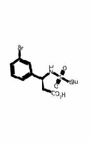 CC(C)(C)S(=O)(=O)N[C@@H](CC(=O)O)c1cccc(Br)c1